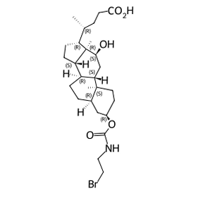 C[C@H](CCC(=O)O)[C@H]1CC[C@H]2[C@@H]3CC[C@@H]4C[C@H](OC(=O)NCCBr)CC[C@]4(C)[C@H]3C[C@H](O)[C@]12C